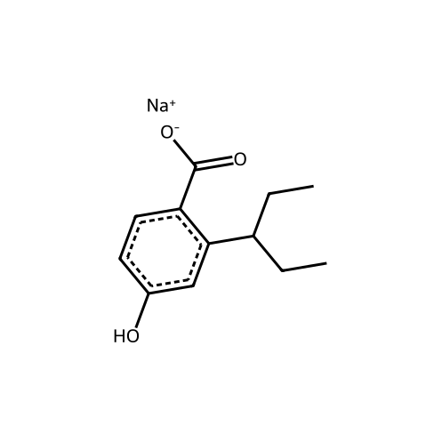 CCC(CC)c1cc(O)ccc1C(=O)[O-].[Na+]